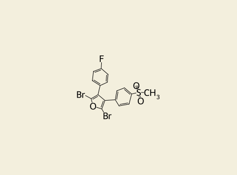 CS(=O)(=O)c1ccc(-c2c(Br)oc(Br)c2-c2ccc(F)cc2)cc1